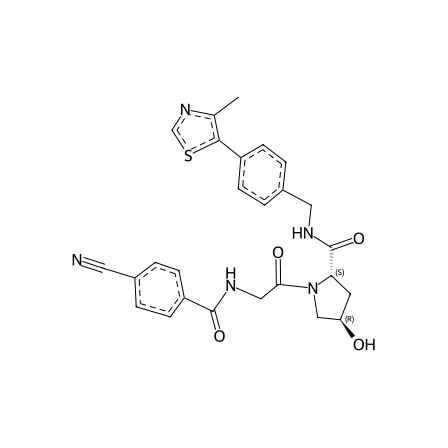 Cc1ncsc1-c1ccc(CNC(=O)[C@@H]2C[C@@H](O)CN2C(=O)CNC(=O)c2ccc(C#N)cc2)cc1